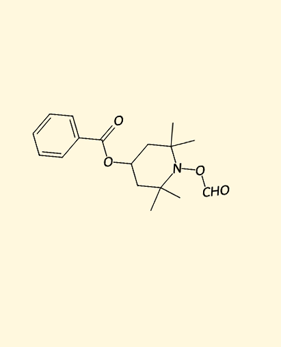 CC1(C)CC(OC(=O)c2ccccc2)CC(C)(C)N1OC=O